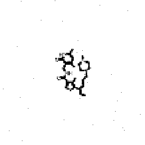 C/C=C(\CCCN1CCN(C)CC1)c1scc(C(=O)NCc2c(C)cc(C)[nH]c2=O)c1C